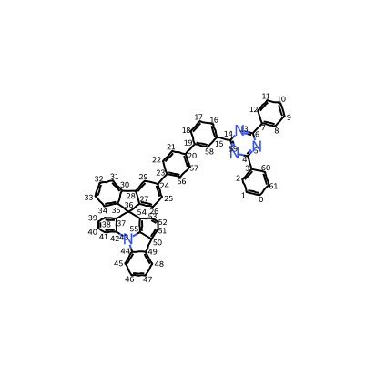 c1ccc(-c2nc(-c3ccccc3)nc(-c3cccc(-c4ccc(-c5ccc6c(c5)-c5ccccc5C65c6ccccc6-n6c7ccccc7c7cccc5c76)cc4)c3)n2)cc1